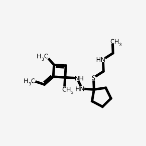 C/C=C1\C(C)=CC1(C)NNC1(SCNCC)CCCC1